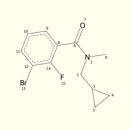 CN(CC1CC1)C(=O)c1cccc(Br)c1F